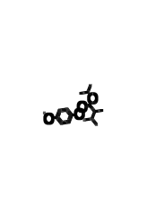 COc1ccc(OCC(C)C(C)C(=O)OC(C)C)cc1